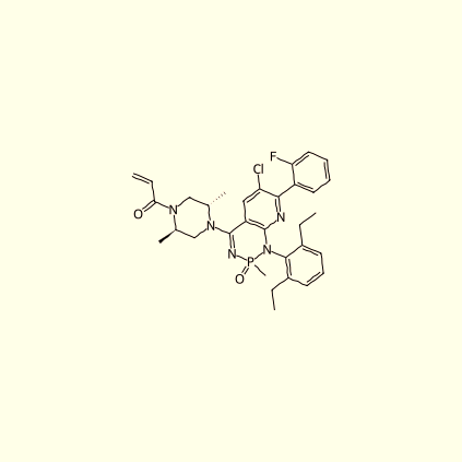 C=CC(=O)N1C[C@H](C)N(C2=NP(C)(=O)N(c3c(CC)cccc3CC)c3nc(-c4ccccc4F)c(Cl)cc32)C[C@H]1C